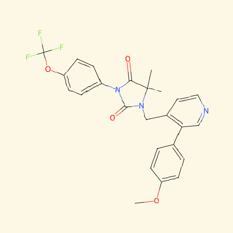 COc1ccc(-c2cnccc2CN2C(=O)N(c3ccc(OC(F)(F)F)cc3)C(=O)C2(C)C)cc1